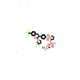 C=CS(=O)(=O)NC[C@H]1CCCN1S(=O)(=O)c1ccc(C(Cc2ccc(C(F)(F)F)cc2)C(=O)N2CCC(F)(F)C2)cc1